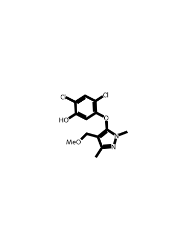 COCc1c(C)nn(C)c1Oc1cc(O)c(Cl)cc1Cl